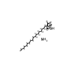 CCCCCCCCCCCCCCCCCCC(=C(C)C)S(=O)(=O)O.N